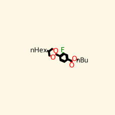 CCCCCCC1COC(c2ccc(C(=O)OCCCC)cc2F)OC1